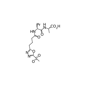 CC(C)[C@H](NC(=O)CCCc1nnc(S(C)(=O)=O)o1)C(=O)N[C@H](C)C(=O)O